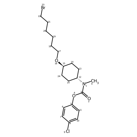 CN(C(=O)Oc1ccc(Cl)cc1)[C@H]1CC[C@H](OCCCCCCBr)CC1